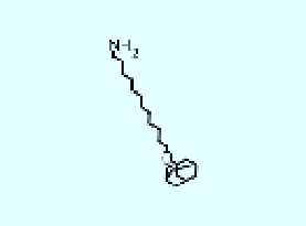 NCCCCCCCCCCCCOC12CC3CC(CC(C3)C1)C2